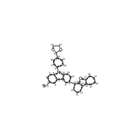 Brc1ccc2c(c1)c1cc(-c3cccc4c3oc3ccccc34)ccc1n2-c1ccc(C2OCCO2)cc1